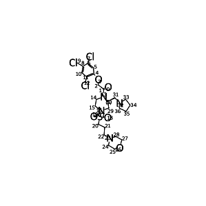 O=C(COc1cc(Cl)c(Cl)cc1Cl)N1CCN(S(=O)(=O)CCCN2CCOCC2)C[C@@H]1CN1CCCC1